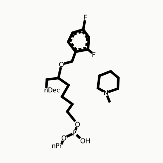 CCCCCCCCCCCC(CCCCOP(O)OCCC)OCc1ccc(F)cc1F.CN1CCCCC1